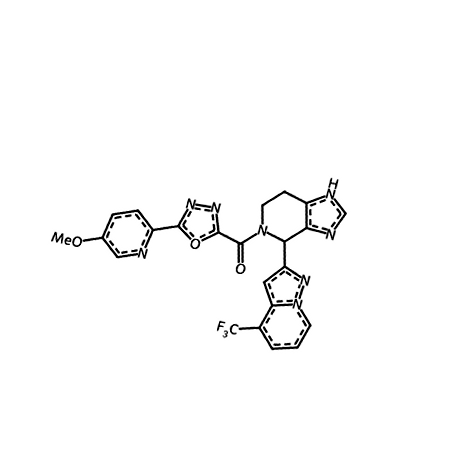 COc1ccc(-c2nnc(C(=O)N3CCc4[nH]cnc4C3c3cc4c(C(F)(F)F)cccn4n3)o2)nc1